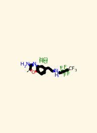 C[C@H]1Oc2ccc(CCNCC(F)(F)C(F)(F)C(F)(F)F)cc2N=C1N.Cl.Cl